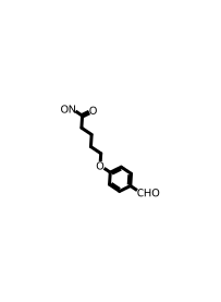 O=Cc1ccc(OCCCCC(=O)N=O)cc1